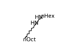 CCCCCCCCC=CCCCCCCCCNCCCNCCCCCC